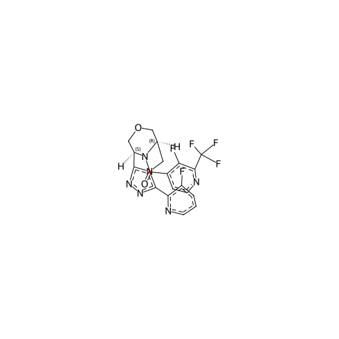 O=C(c1ccnc(C(F)(F)F)c1F)N1[C@H]2COC[C@@H]1c1nnc(-c3ncccc3F)n1C2